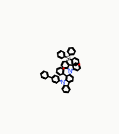 c1ccc(-c2ccc(-n3c4ccccc4c4ccc(-n5c6ccccc6c6c([Si](c7ccccc7)(c7ccccc7)c7ccccc7)cccc65)c(-c5ccccc5)c43)cc2)cc1